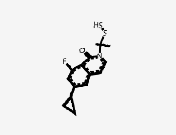 CC(C)(SS)n1ccc2cc(C3CC3)cc(F)c2c1=O